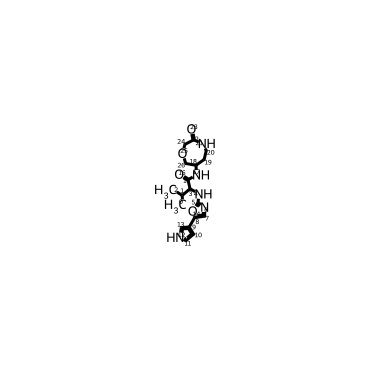 CC(C)C(Nc1ncc(-c2cc[nH]c2)o1)C(=O)NC1CCNC(=O)COC1